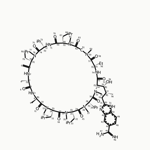 C=C1N[C@@H](C)C(=O)N[C@H](C)C(=O)N(C)[C@@H](CC(C)C)C(=O)N(C)[C@@H](CC(C)C)C(=O)N(C)[C@@H](C(C)C)C(=O)N(C)[C@@H]([C@H](O)[C@H](C)Cc2nc3cc(C(=N)N)ccc3[nH]2)C(=O)N[C@@H](CC)C(=O)N(C)CC(=O)N(C)[C@@H](CC(C)C)C(=O)N[C@@H](C(C)C)C(=O)N(C)[C@H]1CC(C)C